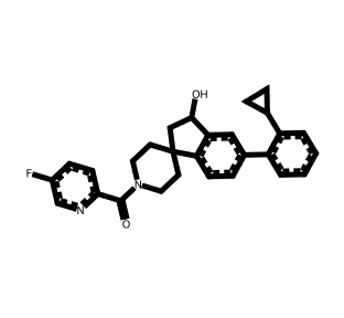 O=C(c1ccc(F)cn1)N1CCC2(CC1)CC(O)c1cc(-c3ccccc3C3CC3)ccc12